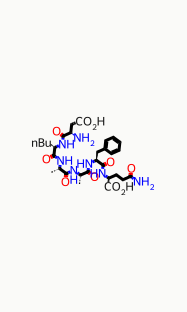 CCCC[C@H](NC(=O)[C@@H](N)CC(=O)O)C(=O)N[C@@H](C)C(=O)N[C@@H](C)C(=O)N[C@@H](Cc1ccccc1)C(=O)N[C@@H](CCC(N)=O)C(=O)O